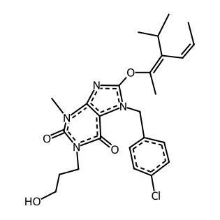 C/C=C\C(=C(/C)Oc1nc2c(c(=O)n(CCCO)c(=O)n2C)n1Cc1ccc(Cl)cc1)C(C)C